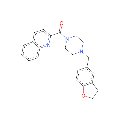 O=C(c1ccc2ccccc2n1)N1CCN(Cc2ccc3c(c2)CCO3)CC1